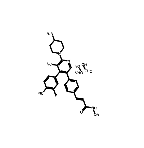 N#Cc1ccc(-c2c(-c3ccc(/C=C/C(=O)NO)cc3)cnc(N3CCC(N)CC3)c2C#N)cc1F.O=CO.O=CO